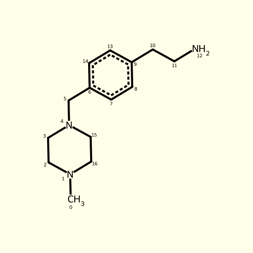 CN1CCN(Cc2ccc(CCN)cc2)CC1